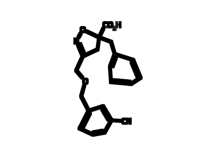 N#Cc1cccc(COCC2=NOC(Cc3ccccc3)(C(=O)O)C2)c1